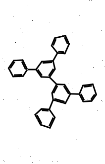 c1ccc(-c2cc(-c3ccccc3)cc(-c3cc(-c4ccccc4)cc(-c4ccccc4)c3)c2)cc1